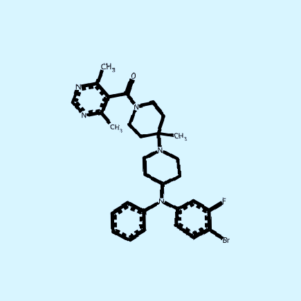 Cc1ncnc(C)c1C(=O)N1CCC(C)(N2CCC(N(c3ccccc3)c3ccc(Br)c(F)c3)CC2)CC1